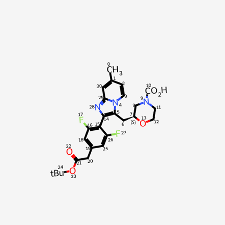 Cc1ccn2c(C[C@H]3CN(C(=O)O)CCO3)c(-c3c(F)cc(CC(=O)OC(C)(C)C)cc3F)nc2c1